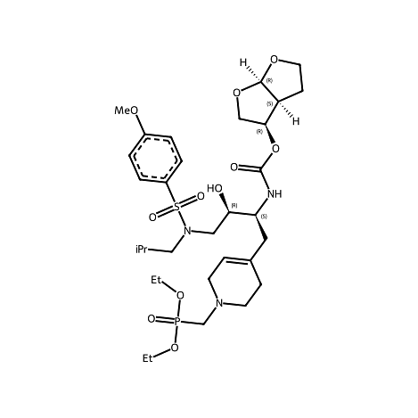 CCOP(=O)(CN1CC=C(C[C@H](NC(=O)O[C@H]2CO[C@H]3OCC[C@H]32)[C@H](O)CN(CC(C)C)S(=O)(=O)c2ccc(OC)cc2)CC1)OCC